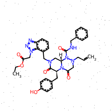 C=CCN1CC(=O)N2[C@@H](Cc3ccc(O)cc3)C(=O)N(Cc3cccc4nnn(CC(=O)OCC)c34)C[C@@H]2N1C(=O)NCc1ccccc1